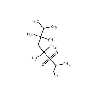 CC(C)C(C)(C)CC(C)(C)S(=O)(=O)C(C)C